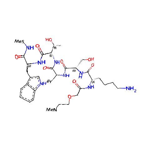 CNCCOCC(=O)N[C@@H](CCCCN)C(=O)N[C@@H](CO)C(=O)NC(C(=O)N[C@H](C(=O)N[C@@H](Cc1c[nH]c2ccccc12)C(=O)NSC)[C@@H](C)O)C(C)C